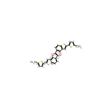 Cc1ccc(-c2cc3c(ccc4c3oc3c5ccc6sc(-c7ccc(C)s7)cc6c5oc43)s2)s1